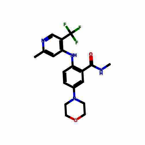 CNC(=O)c1cc(N2CCOCC2)ccc1Nc1cc(C)ncc1C(F)(F)F